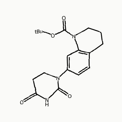 CC(C)(C)OC(=O)N1CCCc2ccc(N3CCC(=O)NC3=O)cc21